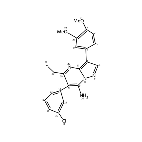 COc1ccc(-c2cnn3c(N)c(-c4cccc(Cl)c4)c(CF)nc23)cc1OC